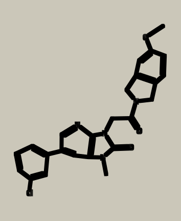 COc1ccc2c(c1)CN(C(=O)Cn1c(=O)n(C)c3cc(-c4cccc(Cl)c4)cnc31)C2